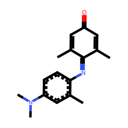 CC1=CC(=O)C=C(C)C1=Nc1ccc(N(C)C)cc1C